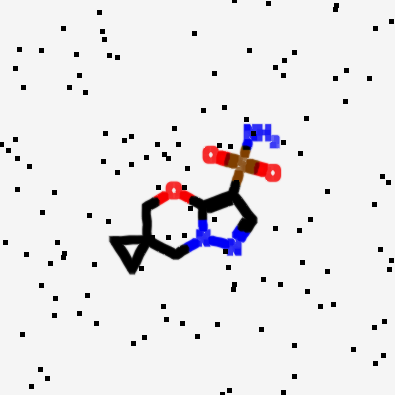 NS(=O)(=O)c1cnn2c1OCC1(CC1)C2